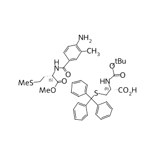 CC(C)(C)OC(=O)N[C@@H](CSC(c1ccccc1)(c1ccccc1)c1ccccc1)C(=O)O.COC(=O)[C@H](CCSC)NC(=O)c1ccc(N)c(C)c1